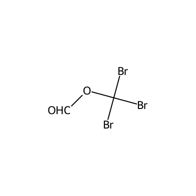 O=COC(Br)(Br)Br